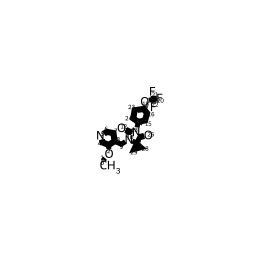 CCOc1cnccc1CN1C(=O)N(c2ccc(OC(F)(F)F)cc2)C(=O)C12CC2